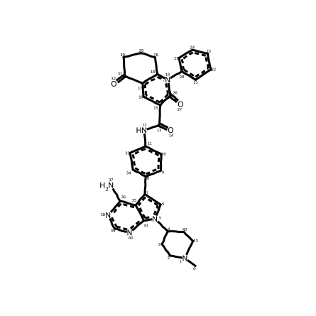 CN1CCC(n2cc(-c3ccc(NC(=O)c4cc5c(n(-c6ccccc6)c4=O)CCCC5=O)cc3)c3c(N)ncnc32)CC1